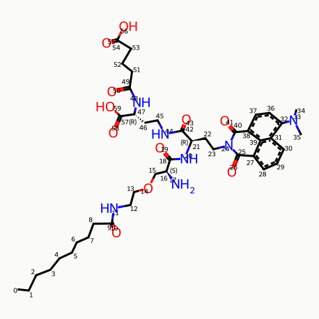 CCCCCCCCCC(=O)NCCOC[C@H](N)C(=O)N[C@H](CCN1C(=O)c2cccc3c(N(C)C)ccc(c23)C1=O)C(=O)NCC[C@@H](NC(=O)CCCC(=O)O)C(=O)O